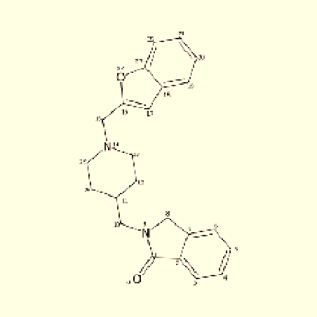 O=C1c2ccccc2CN1CC1CCN(Cc2cc3ccccc3o2)CC1